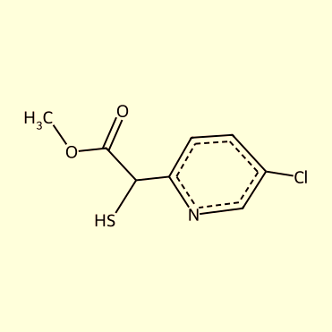 COC(=O)C(S)c1ccc(Cl)cn1